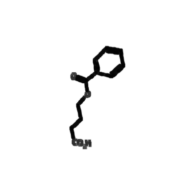 O=C(O)CCCOC(=O)c1ccccc1